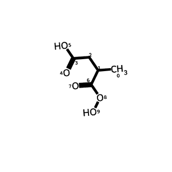 CC(CC(=O)O)C(=O)OO